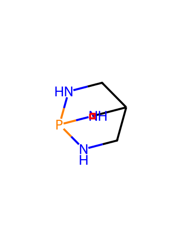 C1NP2NCC1CN2